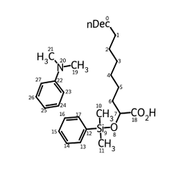 CCCCCCCCCCCCCCCCC(O[Si](C)(C)c1ccccc1)C(=O)O.CN(C)c1ccccc1